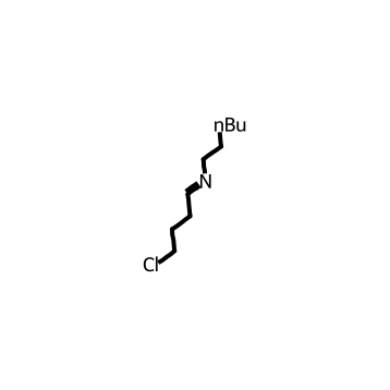 CCCCCCN=CCCCCl